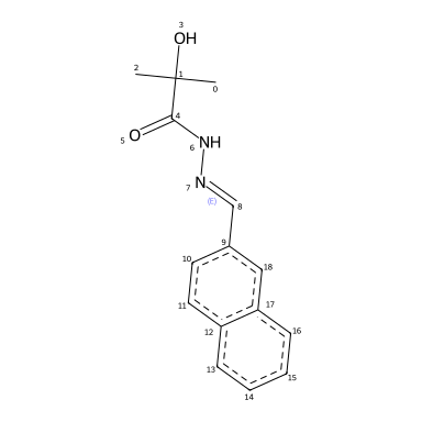 CC(C)(O)C(=O)N/N=C/c1ccc2ccccc2c1